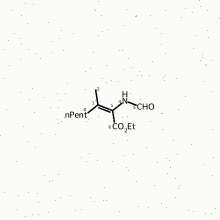 CCCCC/C(C)=C(/NC=O)C(=O)OCC